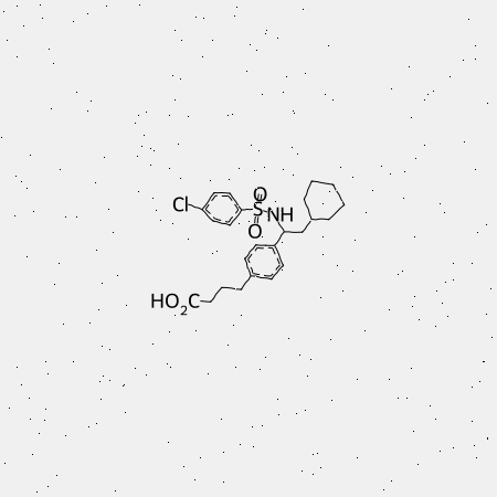 O=C(O)CCCc1ccc(C(CC2CCCCC2)NS(=O)(=O)c2ccc(Cl)cc2)cc1